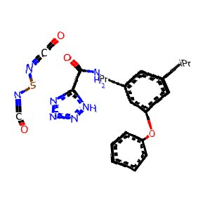 CC(C)c1cc(Oc2ccccc2)cc(C(C)C)c1.NC(=O)c1nnn[nH]1.O=C=NSN=C=O